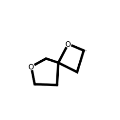 [CH]1CC2(CCOC2)O1